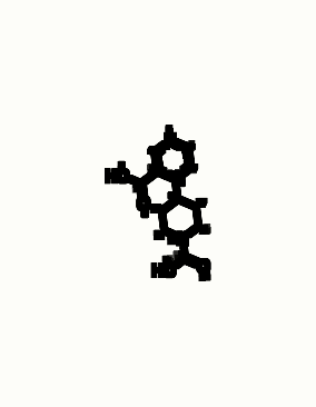 O=C(O)c1cnccc1C1CCN(C(=O)O)CC1